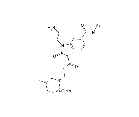 CCNC(=O)c1ccc2c(c1)n(CCN)c(=O)n2C(=O)CCN1CN(C)CC[C@H]1C(C)C